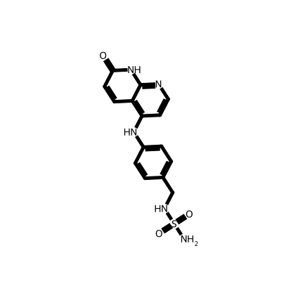 NS(=O)(=O)NCc1ccc(Nc2ccnc3[nH]c(=O)ccc23)cc1